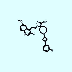 COc1ccc2ncc(Cl)c(CCNC3(C(=O)O)CCCN(C4CC(c5cccc(F)c5)C4)CC3)c2c1